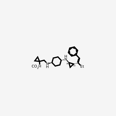 CCC(=Cc1ccccc1)[C@@H]1C[C@H]1N[C@H]1CC[C@H](NCC2(C(=O)O)CC2)CC1